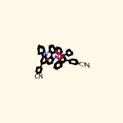 N#Cc1ccc(-c2ccc3c(c2)c2ccccc2n3-c2ccccc2-c2c(-c3nc(-c4ccccc4)cc(-c4ccccc4)n3)cccc2-n2c3ccccc3c3cc(-c4ccc(C#N)cc4)ccc32)cc1